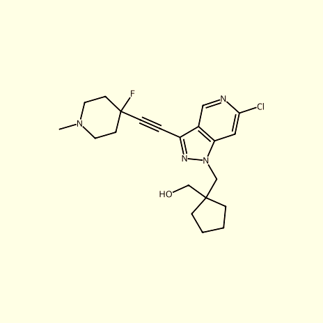 CN1CCC(F)(C#Cc2nn(CC3(CO)CCCC3)c3cc(Cl)ncc23)CC1